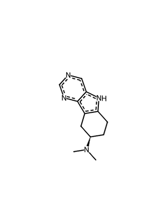 CN(C)[C@@H]1CCc2[nH]c3cncnc3c2C1